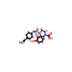 C#Cc1ccc(N=[S@](=O)(Oc2ccccc2O)N2CCN(C(=O)O)CC2)cc1